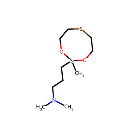 CN(C)CCC[Si]1(C)OCCSCCO1